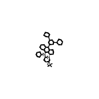 C[Si](C)(C)c1ccc(N(c2ccccc2)c2c3ccccc3c(-c3cc(-c4ccccc4)cc(-c4ccccc4)c3)c3ccccc23)nc1